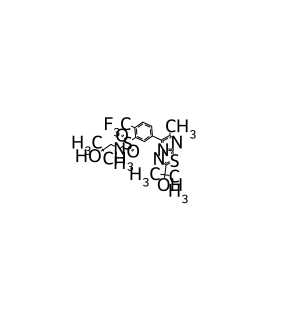 Cc1nc2sc(C(C)(C)O)nn2c1-c1ccc(C(F)(F)F)c(S(=O)(=O)NCC(C)(C)O)c1